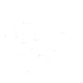 CN(C)C(=O)C1([N+]2(CCC(CN(C)C(=O)C=Cc3ccc(Cl)cc3)c3ccc(Cl)c(Cl)c3)CCCCC2)CCNCC1